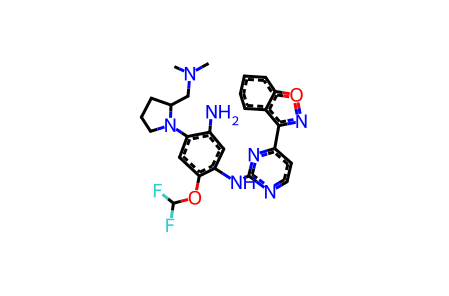 CN(C)CC1CCCN1c1cc(OC(F)F)c(Nc2nccc(-c3noc4ccccc34)n2)cc1N